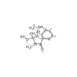 CCO[Si](C)(OCC)N(C)C(=O)c1ccccc1.C[SiH3]